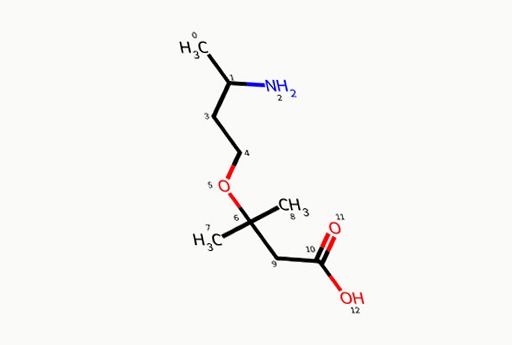 CC(N)CCOC(C)(C)CC(=O)O